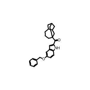 O=C(c1cc2cc(OCc3ccccc3)ccc2[nH]1)C12CCCC3CC(CC3C1)C2